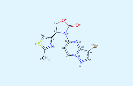 Cc1nc([C@H]2COC(=O)N2c2ccn3ncc(Br)c3n2)cs1